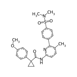 COc1ccc(C2(C(=O)Nc3ccc(C)c(-c4ccc(S(=O)(=O)N(C)C)cc4)n3)CC2)cc1